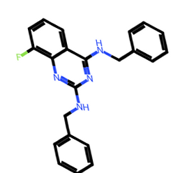 Fc1cccc2c(NCc3ccccc3)nc(NCc3ccccc3)nc12